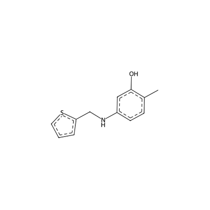 Cc1ccc(NCc2cccs2)cc1O